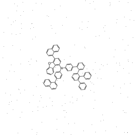 c1ccc(-c2cccc(-c3ccccc3-c3ccc(N(c4ccc(-c5cccc6ccccc56)cc4)c4ccc(-c5cccc6ccccc56)c5oc6ccccc6c45)cc3)c2-c2ccccc2)cc1